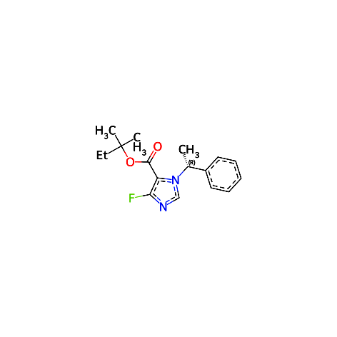 CCC(C)(C)OC(=O)c1c(F)ncn1[C@H](C)c1ccccc1